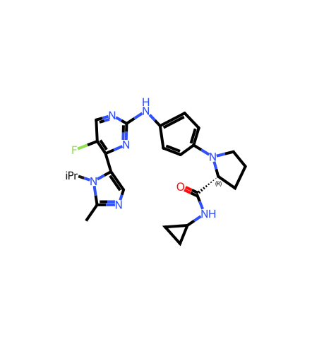 Cc1ncc(-c2nc(Nc3ccc(N4CCC[C@@H]4C(=O)NC4CC4)cc3)ncc2F)n1C(C)C